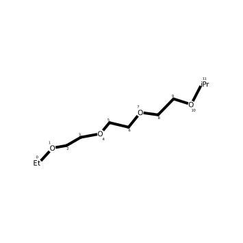 [CH2]COCCOCCOCCOC(C)C